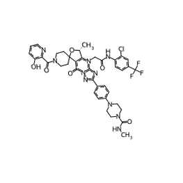 CNC(=O)N1CCN(c2ccc(-c3nc4n(CC(=O)Nc5ccc(C(F)(F)F)cc5Cl)c5c(c(=O)n4n3)C3(CCN(C(=O)c4ncccc4O)CC3)O[C@@H]5C)cc2)CC1